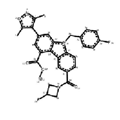 Cc1noc(C)c1-c1cc(C(=O)OC(C)(C)C)c2c3cc(C(=O)N4CC(F)C4)ccc3n(Cc3ccc(F)cc3)c2c1